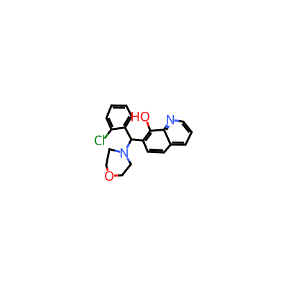 Oc1c(C(c2ccccc2Cl)N2CCOCC2)ccc2cccnc12